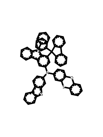 c1ccc(-n2c3ccccc3c3cc(N(c4ccc5c(c4)Sc4ccccc4O5)c4ccc5c(c4)sc4ccccc45)cc(C4(c5ccccc5)c5ccccc5-c5ccccc54)c32)cc1